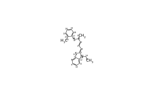 C=C(/C=C/C=C1\Sc2ccccc2N1CC)Sc1ccccc1C